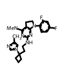 CNc1nc(NCCC2(n3cnc(C)c3)CCC2)nc2c1CCN2c1ccc(F)cc1F